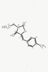 Cc1ccc(/C=C2\SC(=O)N(CC(=O)O)C2=O)cc1